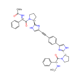 COC(=O)N[C@@H](C(=O)N1CCC[C@H]1c1nc(C#Cc2ccc(-c3c[nH]c([C@@H]4CCCN4C(=O)[C@H](NC(=O)O)c4ccccc4)n3)cc2)c[nH]1)c1ccccc1